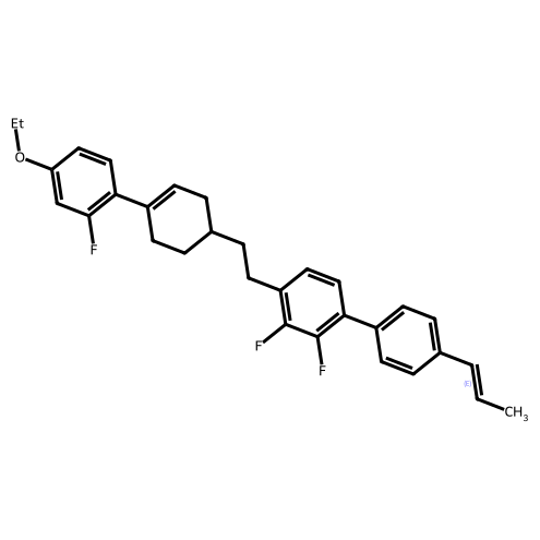 C/C=C/c1ccc(-c2ccc(CCC3CC=C(c4ccc(OCC)cc4F)CC3)c(F)c2F)cc1